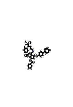 COC(=O)CCC/C=C\C[C@@H]1[C@@H](NS(=O)(=O)c2ccc(C)cc2)[C@H](OC(=O)c2ccccc2)C[C@@H]1OCc1ccc(-c2ccccc2)cc1